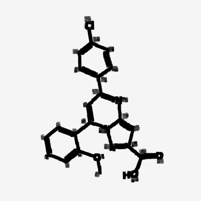 COc1ccccc1-c1cc(-c2ccc(Cl)cc2)nc2cc(C(=O)O)nn12